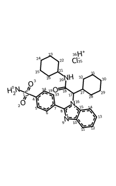 NS(=O)(=O)c1ccc(-c2nc3ccccc3n2C(C(=O)NC2CCCCC2)C2CCCCC2)cc1.[Cl-].[H+]